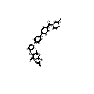 Cc1nc2nc(C)c(O[C@@H]3CCN(c4ccc(C5CCC(C(=O)N6CCO[C@H](C)C6)CC5)cc4)C3)c(C)n2n1